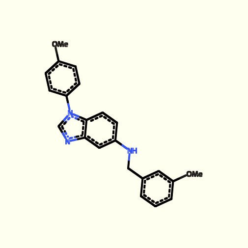 COc1ccc(-n2cnc3cc(NCc4cccc(OC)c4)ccc32)cc1